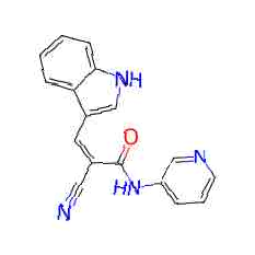 N#CC(=Cc1c[nH]c2ccccc12)C(=O)Nc1cccnc1